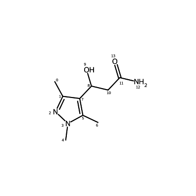 Cc1nn(C)c(C)c1C(O)CC(N)=O